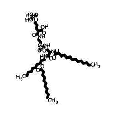 CCCCCCCCCCCCCC(=O)NC(COP(=O)(O)OCCNC(=O)C(CCCOP(=O)(O)O)C(=O)O)C(=O)NCCC(CCCCCCC)OC(=O)CCCCCCCCCCC